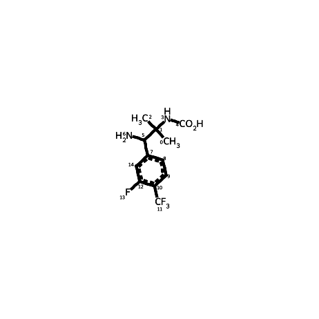 CC(C)(NC(=O)O)C(N)c1ccc(C(F)(F)F)c(F)c1